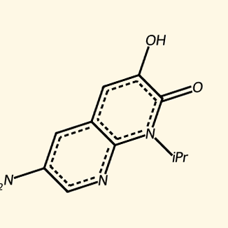 CC(C)n1c(=O)c(O)cc2cc([N+](=O)[O-])cnc21